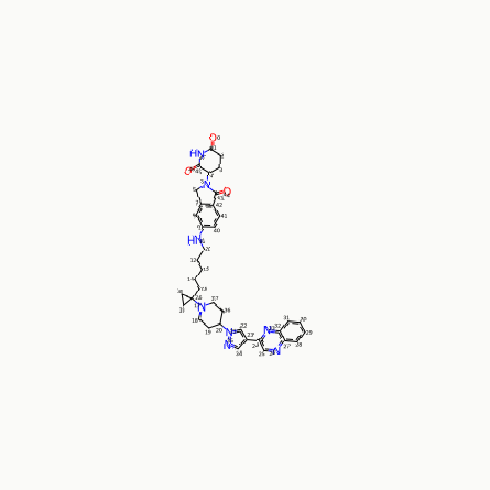 O=C1CCC(N2Cc3cc(NCCCCCC4(N5CCC(n6cc(-c7cnc8ccccc8n7)cn6)CC5)CC4)ccc3C2=O)C(=O)N1